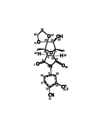 C[C@]12O[C@](C)([C@@H]3C(=O)N(c4ccc(C#N)c(C(F)(F)F)c4)C(=O)[C@@H]31)C1(OCCO1)[C@H]2O